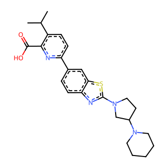 CC(C)c1ccc(-c2ccc3nc(N4CCC(N5CCCCC5)C4)sc3c2)nc1C(=O)O